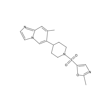 Cc1ncc(S(=O)(=O)N2CCC(c3cn4ccnc4cc3C)CC2)o1